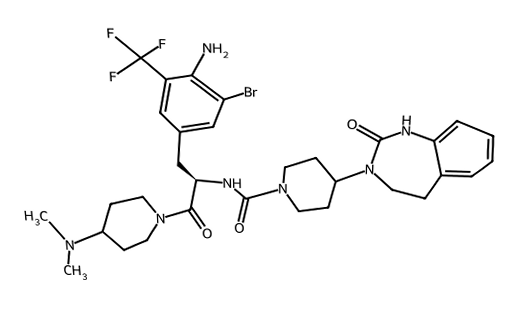 CN(C)C1CCN(C(=O)[C@@H](Cc2cc(Br)c(N)c(C(F)(F)F)c2)NC(=O)N2CCC(N3CCc4ccccc4NC3=O)CC2)CC1